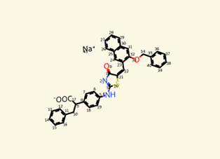 O=C1N=C(Nc2ccc(C(Cc3ccccc3)C(=O)[O-])cc2)SC1=Cc1cc2ccccc2cc1OCc1ccccc1.[Na+]